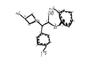 Cc1ccc(C(C(C=O)Nc2ccccc2[N+](=O)[O-])N2CC(O)C2)cc1